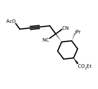 CCOC(=O)[C@H]1CC[C@H](C(C#N)(C#N)CC#CCOC(C)=O)[C@H](C(C)C)C1